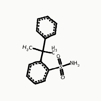 CC(C)(c1ccccc1)c1ccccc1S(N)(=O)=O